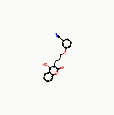 N#Cc1cccc(OCCCc2c(O)c3ccccc3oc2=O)c1